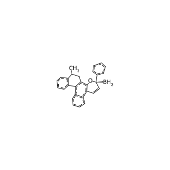 B[C@@]1(c2ccccc2)C=Cc2c(c3c(c4ccccc24)-c2ccccc2C(C)C3)O1